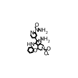 COC(=O)N1CC(=O)c2c(Nc3ccccc3)c(-c3ccnc(N(N)C=O)c3)n(N)c2C1